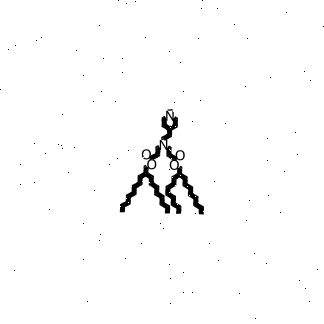 CCCCCCCCC(CCCCCCCC)COC(=O)CCN(CCC(=O)OCC(CCCCCCCC)CCCCCCCC)CCC1CCN(C)CC1